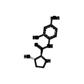 CCCCCCCCc1ccc(NC(=O)[C@H]2NCC[C@@H]2O)c(O)c1